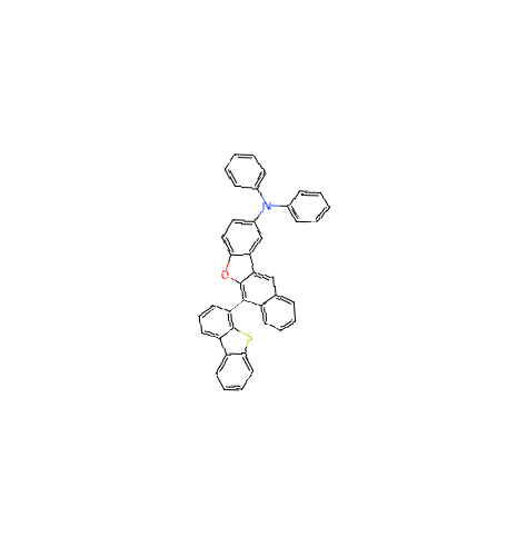 c1ccc(N(c2ccccc2)c2ccc3oc4c(-c5cccc6c5sc5ccccc56)c5ccccc5cc4c3c2)cc1